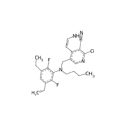 C=Cc1cc(CC)c(F)c(N(CCCC)Cc2cnc(Cl)c(C#N)c2/C=C\N)c1F